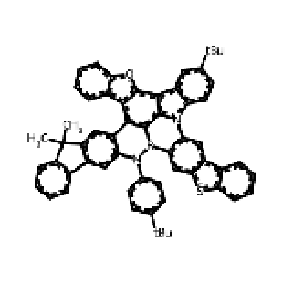 CC(C)(C)c1ccc(N2B3c4cc5sc6ccccc6c5cc4-n4c5ccc(C(C)(C)C)cc5c5c6oc7ccccc7c6c(c3c54)-c3cc4c(cc32)-c2ccccc2C4(C)C)cc1